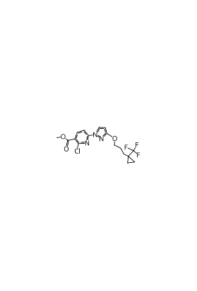 COC(=O)c1ccc(-n2ccc(OCCCC3(C(F)(F)F)CC3)n2)nc1Cl